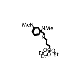 CCO[Si](CCCN=CC1(NC)C=CC=C(NC)C1)(OCC)OCC